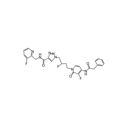 O=C(Cc1ccccc1)Nc1ccn(CCC(F)Cn2cc(C(=O)NCc3ncccc3F)nn2)c(=O)c1F